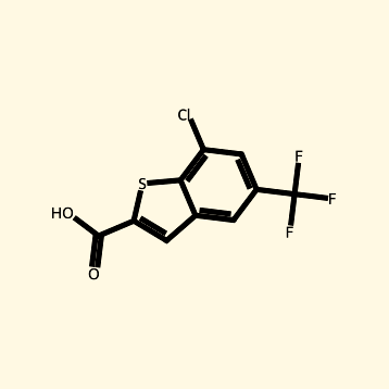 O=C(O)c1cc2cc(C(F)(F)F)cc(Cl)c2s1